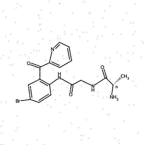 C[C@H](N)C(=O)NCC(=O)Nc1ccc(Br)cc1C(=O)c1ccccn1